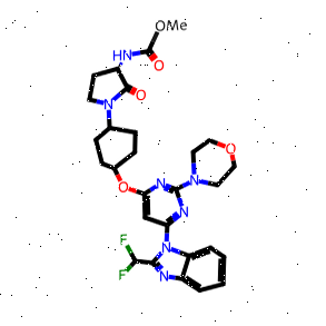 COC(=O)N[C@H]1CCN(C2CCC(Oc3cc(-n4c(C(F)F)nc5ccccc54)nc(N4CCOCC4)n3)CC2)C1=O